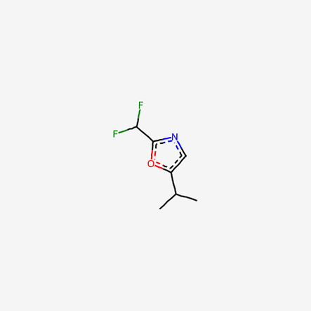 CC(C)c1cnc(C(F)F)o1